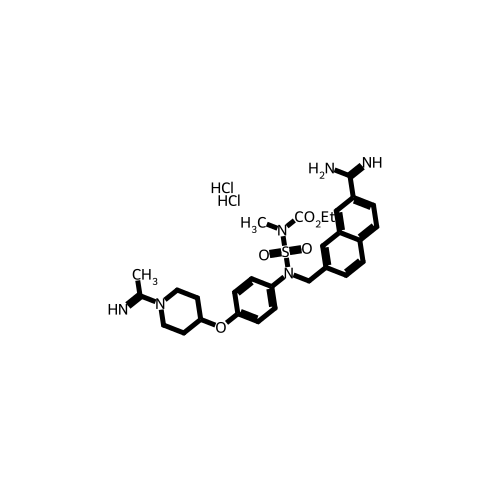 CCOC(=O)N(C)S(=O)(=O)N(Cc1ccc2ccc(C(=N)N)cc2c1)c1ccc(OC2CCN(C(C)=N)CC2)cc1.Cl.Cl